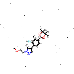 COCCn1ncc(-c2ccc(B3OC(C)(C)C(C)(C)O3)c(C)c2F)c1C